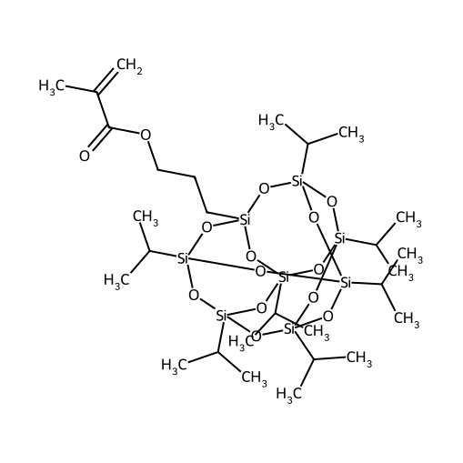 C=C(C)C(=O)OCCC[Si]12O[Si]3(C(C)C)O[Si]4(C(C)C)O[Si](C(C)C)(O1)O[Si]1(C(C)C)O[Si](C(C)C)(O2)O[Si](C(C)C)(O3)O[Si](C(C)C)(O4)O1